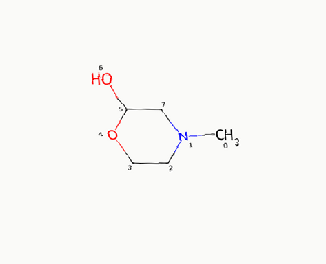 CN1CCOC(O)C1